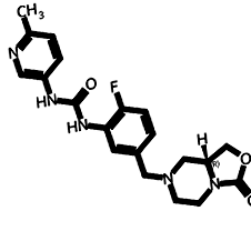 Cc1ccc(NC(=O)Nc2cc(CN3CCN4C(=O)OC[C@H]4C3)ccc2F)cn1